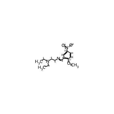 CCN(CC)CC/N=C/c1cc([N+](=O)[O-])ccc1OC